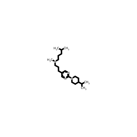 CC(C)CCCN(C)CCCc1cnc(N2CCC(C(C)C)CC2)nc1